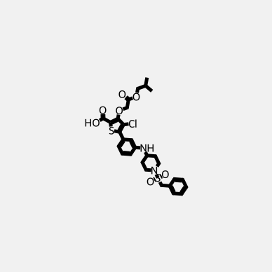 CC(C)COC(=O)COc1c(C(=O)O)sc(-c2cccc(NC3CCN(S(=O)(=O)Cc4ccccc4)CC3)c2)c1Cl